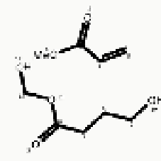 C=CC(=O)OC.O=C(CCCO)OCO